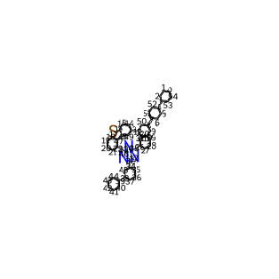 c1ccc(-c2ccc(-c3cccc(-c4ccc5sc6cccc(-c7nc(-c8ccccc8)nc(-c8cccc(-c9ccccc9)c8)n7)c6c5c4)c3)cc2)cc1